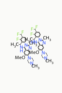 COc1cc2c(NC(C)c3cccc(C(F)F)c3F)nc(C)nc2cc1N1CCN(C)CC1.COc1cc2c(NC(C)c3cccc(C(F)F)c3F)nc(C)nc2cc1N1CCN(C)CC1